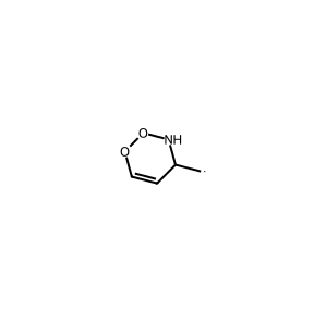 [CH2]C1C=COON1